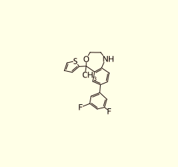 CC1(c2cccs2)OCCNc2ccc(-c3cc(F)cc(F)c3)cc21